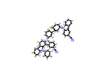 N#Cc1ccc2c(c1)c1ccccc1n2-c1ccc2sc3ccc(-n4c5ccc(C#N)cc5c5c4ccc4c6ccccc6n(-c6ccccc6)c45)cc3c2c1